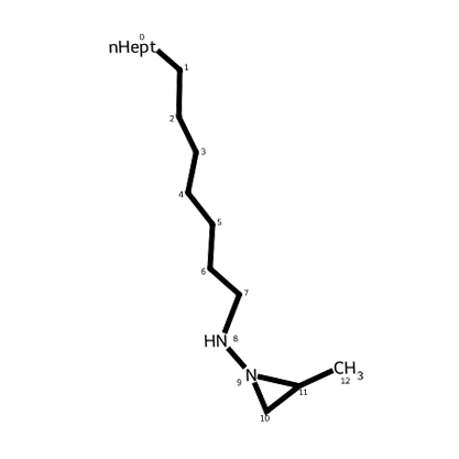 CCCCCCCCCCCCCCNN1CC1C